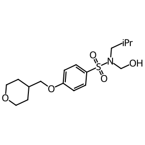 CC(C)CN(CO)S(=O)(=O)c1ccc(OCC2CCOCC2)cc1